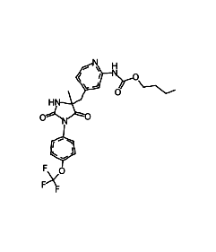 CCCCOC(=O)Nc1cc(CC2(C)NC(=O)N(c3ccc(OC(F)(F)F)cc3)C2=O)ccn1